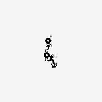 OC1c2cc(OCc3nc4cc(F)ccc4s3)ccc2OCC1Cc1nccs1